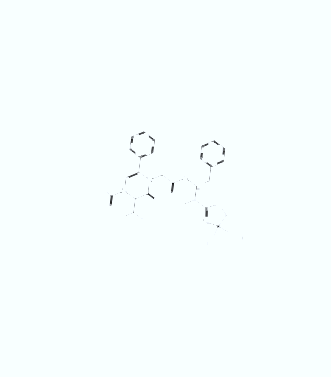 CC(=O)N1C=C(c2ccccc2)N(CC(=O)N[C@@H](Cc2ccccc2)C(O)C2=NC(C)(C)CO2)C(=O)C1C(C)C